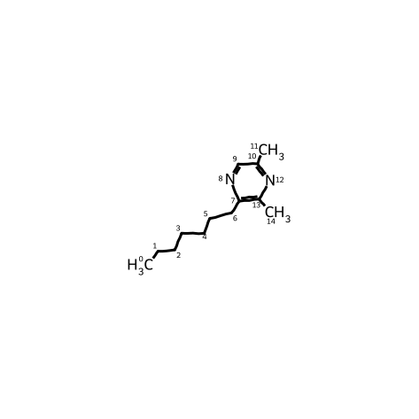 CCCCCCCc1ncc(C)nc1C